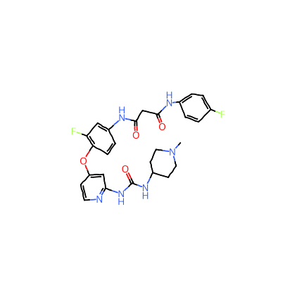 CN1CCC(NC(=O)Nc2cc(Oc3ccc(NC(=O)CC(=O)Nc4ccc(F)cc4)cc3F)ccn2)CC1